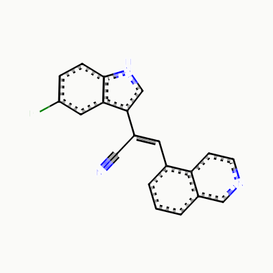 N#CC(=Cc1cccc2cnccc12)c1c[nH]c2ccc(Br)cc12